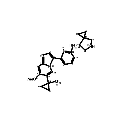 COc1cc2ncc(-c3cccc(N[C@H]4CNCC45CC5)n3)n2cc1C1(C(F)(F)F)CC1